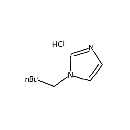 CCCCCn1ccnc1.Cl